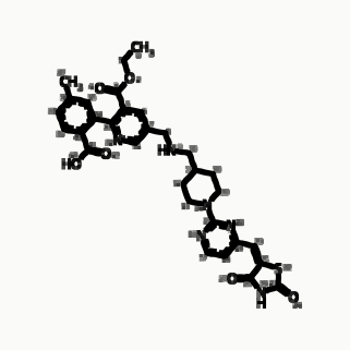 CCOC(=O)c1cc(CNCC2CCN(c3nccc(C=C4SC(=O)NC4=O)n3)CC2)cnc1-c1cc(C)ccc1C(=O)O